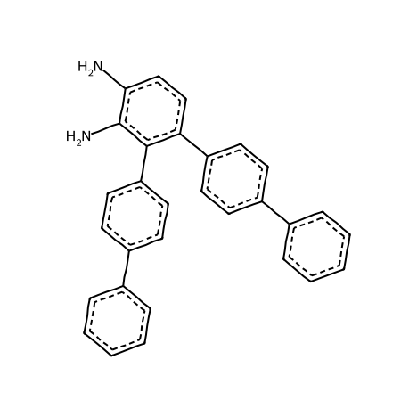 Nc1ccc(-c2ccc(-c3ccccc3)cc2)c(-c2ccc(-c3ccccc3)cc2)c1N